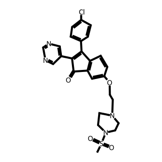 CS(=O)(=O)N1CCN(CCOc2ccc3c(c2)C(=O)C(c2cncnc2)=C3c2ccc(Cl)cc2)CC1